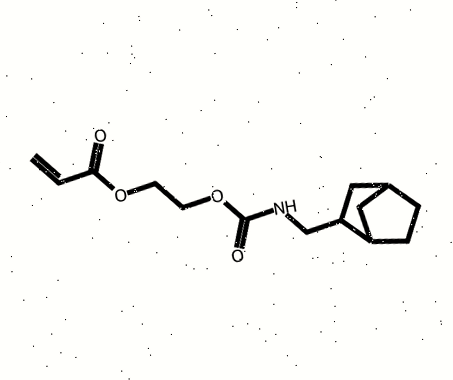 C=CC(=O)OCCOC(=O)NCC1CC2CCC1C2